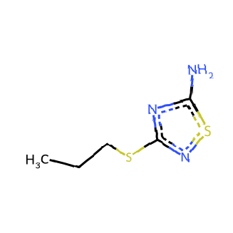 CCCSc1nsc(N)n1